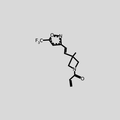 C=CC(=O)N1CC(C)(C=Cc2cc(C(F)(F)F)on2)C1